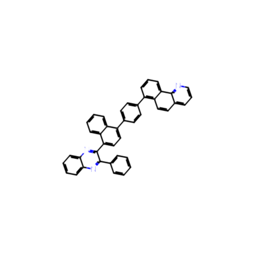 c1ccc(-c2nc3ccccc3nc2-c2ccc(-c3ccc(-c4cccc5c4ccc4cccnc45)cc3)c3ccccc23)cc1